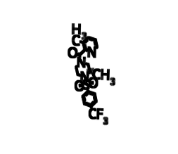 Cc1cccnc1C(=O)N1CCN(S(=O)(=O)c2ccc(C(F)(F)F)cc2)[C@H](C)C1